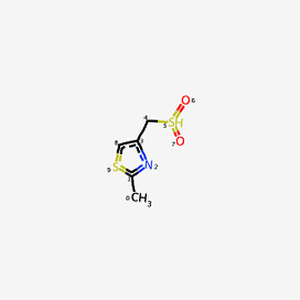 Cc1nc(C[SH](=O)=O)cs1